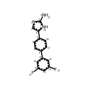 Nc1ncc(-c2ccc(-c3cc(F)cc(F)c3)cc2)[nH]1